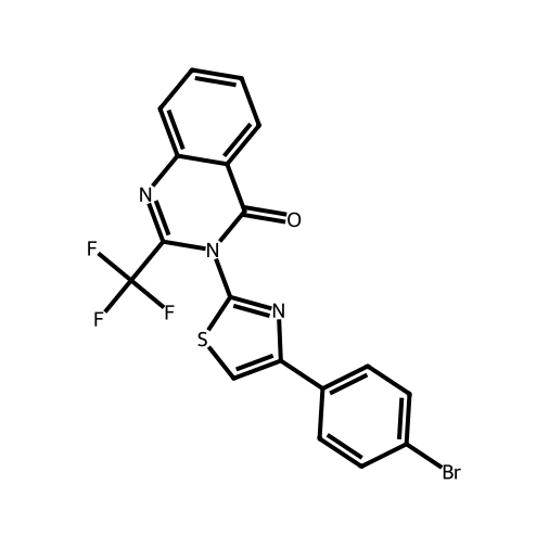 O=c1c2ccccc2nc(C(F)(F)F)n1-c1nc(-c2ccc(Br)cc2)cs1